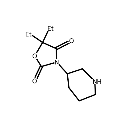 CCC1(CC)OC(=O)N(C2CCCNC2)C1=O